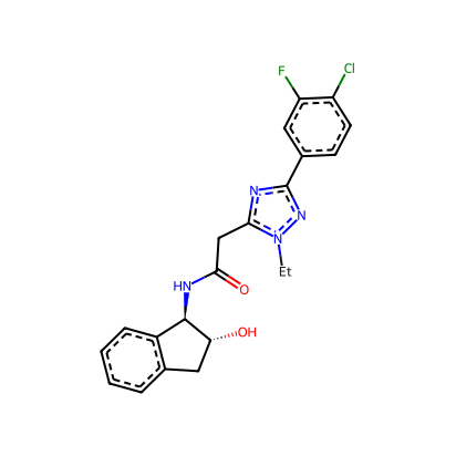 CCn1nc(-c2ccc(Cl)c(F)c2)nc1CC(=O)N[C@@H]1c2ccccc2C[C@H]1O